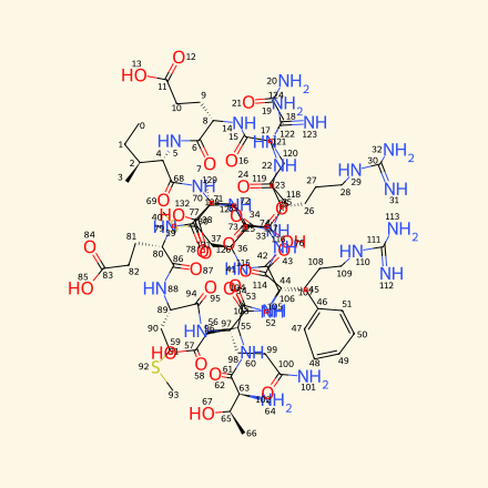 CC[C@H](C)[C@H](NC(=O)[C@H](CCC(=O)O)NC(=O)[C@H](CC(N)=O)NC(=O)[C@H](CCCNC(=N)N)NC(=O)[C@H](CCSC)NC(=O)[C@H](Cc1ccccc1)NC(=O)[C@H](CC(=O)O)NC(=O)[C@@H](N)[C@@H](C)O)C(=O)N[C@@H](CCC(=O)O)C(=O)N[C@@H](CCC(=O)O)C(=O)N[C@@H](CCSC)C(=O)N[C@@H](CCC(N)=O)C(=O)N[C@@H](CCCNC(=N)N)C(=O)N[C@@H](CCCNC(=N)N)C(=O)N[C@@H](C)C(=O)O